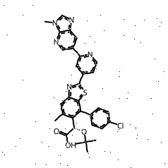 Cc1cc2nc(-c3ccnc(-c4cnc5c(c4)ncn5C)c3)sc2c(-c2ccc(Cl)cc2)c1[C@H](OC(C)(C)C)C(=O)O